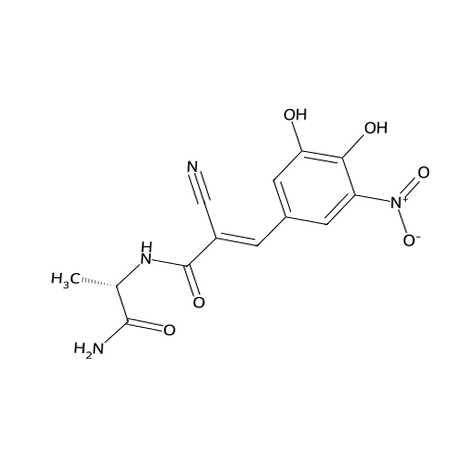 C[C@H](NC(=O)/C(C#N)=C/c1cc(O)c(O)c([N+](=O)[O-])c1)C(N)=O